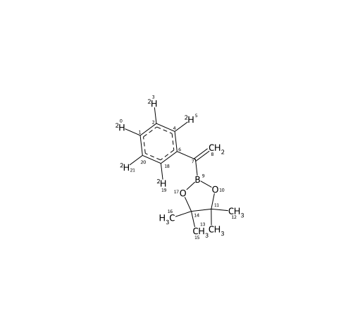 [2H]c1c([2H])c([2H])c(C(=C)B2OC(C)(C)C(C)(C)O2)c([2H])c1[2H]